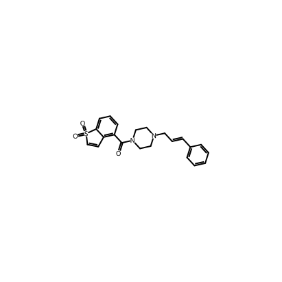 O=C(c1cccc2c1C=CS2(=O)=O)N1CCN(CC=Cc2ccccc2)CC1